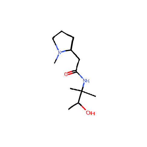 CC(O)C(C)(C)NC(=O)CC1CCCN1C